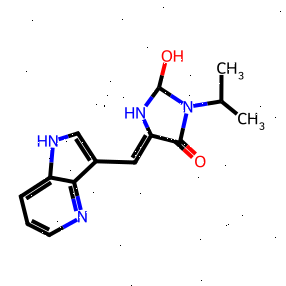 CC(C)N1C(=O)/C(=C/c2c[nH]c3cccnc23)NC1O